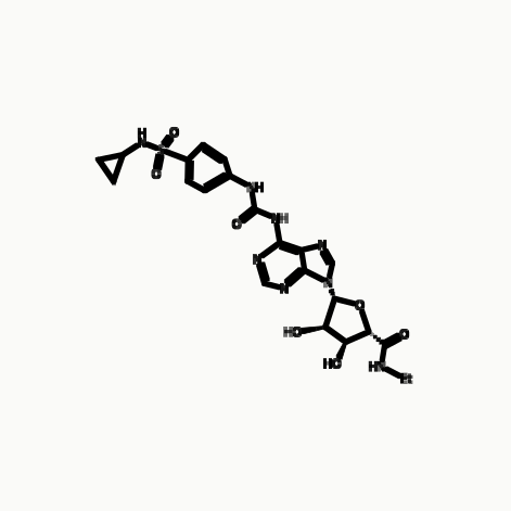 CCNC(=O)[C@H]1O[C@@H](n2cnc3c(NC(=O)Nc4ccc(S(=O)(=O)NC5CC5)cc4)ncnc32)[C@H](O)[C@@H]1O